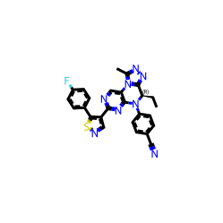 CC[C@@H]1c2nnc(C)n2-c2cnc(-c3cnsc3-c3ccc(F)cc3)nc2N1c1ccc(C#N)cc1